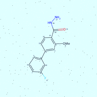 COc1cc(-c2cccc(F)c2)ccc1C(=O)NN